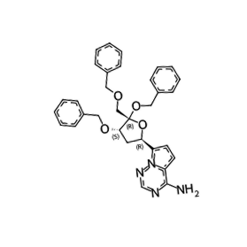 Nc1ncnn2c([C@H]3C[C@H](OCc4ccccc4)[C@](COCc4ccccc4)(OCc4ccccc4)O3)ccc12